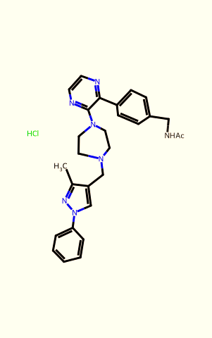 CC(=O)NCc1ccc(-c2nccnc2N2CCN(Cc3cn(-c4ccccc4)nc3C)CC2)cc1.Cl